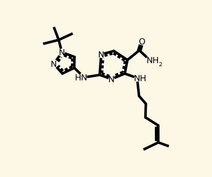 CC(C)=CCCCNc1nc(Nc2cnn(C(C)(C)C)c2)ncc1C(N)=O